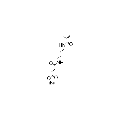 C=C(C)C(=O)NCCCCNC(=O)CCC(=O)OC(C)CC